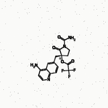 NC(=O)N1CC[C@](Cc2ccc3nccc(N)c3c2)(OC(=O)C(F)(F)F)C1=O